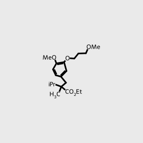 CCOC(=O)C(C)(Cc1ccc(OC)c(OCCCOC)c1)C(C)C